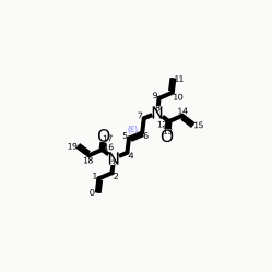 C=CCN(C/C=C/CN(CC=C)C(=O)C=C)C(=O)C=C